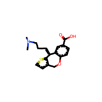 CN(C)CC/C=C1/c2cc(C(=O)O)ccc2OCc2ccsc21